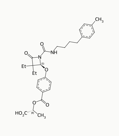 CCC1(CC)C(=O)N(C(=O)NCCCCc2ccc(C)cc2)[C@H]1Oc1ccc(C(=O)O[C@H](C)C(=O)O)cc1